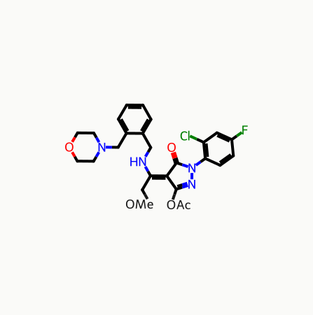 COCC(NCc1ccccc1CN1CCOCC1)=C1C(=O)N(c2ccc(F)cc2Cl)N=C1OC(C)=O